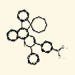 CN(C)c1ccc(C2=Cc3c4c(c5ccccc5c3OC2c2ccccc2)-c2ccccc2C42CCCCCCC2)cc1